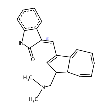 CN(C)CC1C=C(/C=C2\C(=O)Nc3ccccc32)C2=CC=CC=CC21